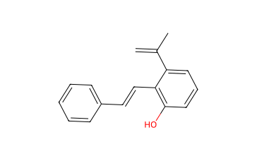 C=C(C)c1cccc(O)c1C=Cc1ccccc1